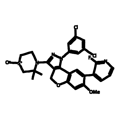 COc1cc2c(cc1-c1cccnc1F)-c1c(c(N3CC[S+]([O-])CC3(C)C)nn1-c1cc(Cl)cc(Cl)c1)CO2